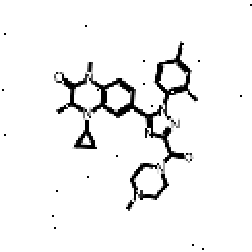 Cc1ccc(-n2nc(C(=O)N3CCN(C)CC3)nc2-c2ccc3c(c2)N(C2CC2)C(C)C(=O)N3C)c(C)c1